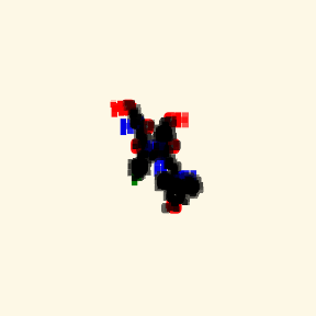 COc1ccc(C(NCCCC[C@H](NC(=O)C[C@H](Cc2ccc(F)cc2)NC(=O)CCC(=O)NCCCO)C(=O)Nc2ccc(CO)cc2)(c2ccccc2)c2ccccc2)cc1